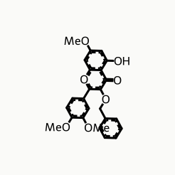 COc1cc(O)c2c(=O)c(OCc3ccccc3)c(-c3ccc(OC)c(OC)c3)oc2c1